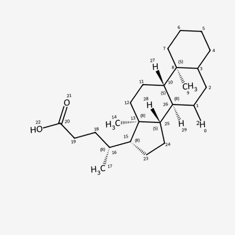 [2H]C1CC2CCCC[C@]2(C)[C@H]2CC[C@]3(C)[C@@H]([C@H](C)CCC(=O)O)CC[C@H]3[C@H]12